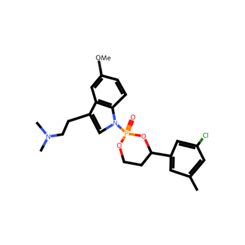 COc1ccc2c(c1)c(CCN(C)C)cn2P1(=O)OCCC(c2cc(C)cc(Cl)c2)O1